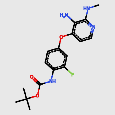 CNc1nccc(Oc2ccc(NC(=O)OC(C)(C)C)c(F)c2)c1N